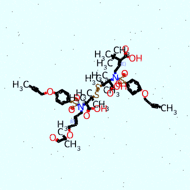 CC#CCOc1ccc(S(=O)(=O)N(C/C=C/COC(C)(C)C=O)[C@@](C)(C(=O)O)C(C)(C)SSC(C)(C)[C@](C)(C(=O)O)N(C/C=C(/C(=O)O)C(C)(C)C)S(=O)(=O)c2ccc(OCC#CC)cc2)cc1